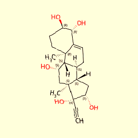 C#C[C@]1(O)[C@@H](O)C[C@H]2[C@@H]3CC=C4[C@@H](O)[C@H](O)CC[C@]4(C)[C@H]3[C@@H](O)C[C@@]21C